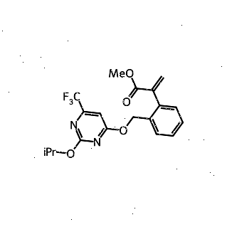 C=C(C(=O)OC)c1ccccc1COc1cc(C(F)(F)F)nc(OC(C)C)n1